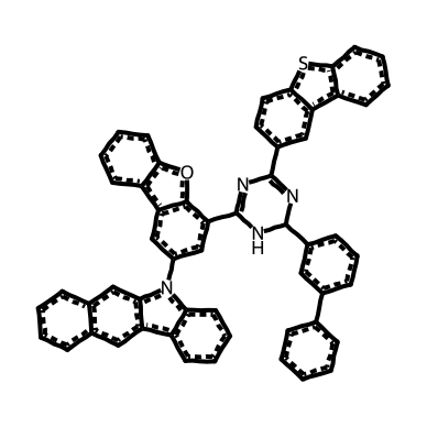 c1ccc(-c2cccc(C3N=C(c4ccc5sc6ccccc6c5c4)N=C(c4cc(-n5c6ccccc6c6cc7ccccc7cc65)cc5c4oc4ccccc45)N3)c2)cc1